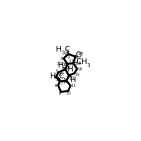 C[C@@H]1C[C@H]2[C@@H]3CC=C4CCCC[C@]4(C)[C@H]3CC[C@]2(C)C1=O